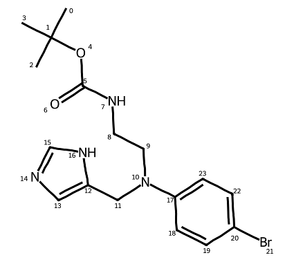 CC(C)(C)OC(=O)NCCN(Cc1cnc[nH]1)c1ccc(Br)cc1